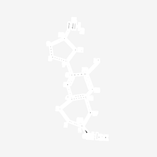 CCCCCC[C@H]1CCc2cc(C3CCC(N)C3)c(C)cc2C1